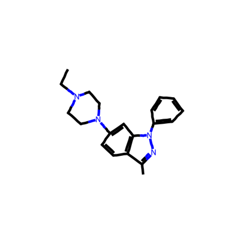 CCN1CCN(c2ccc3c(C)nn(-c4ccccc4)c3c2)CC1